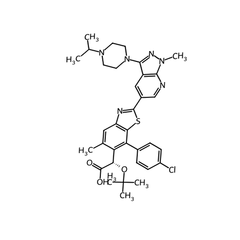 Cc1cc2nc(-c3cnc4c(c3)c(N3CCN(C(C)C)CC3)nn4C)sc2c(-c2ccc(Cl)cc2)c1[C@H](OC(C)(C)C)C(=O)O